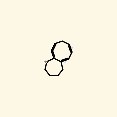 C1=CC/C=C\C=C2\CCCCNC=12